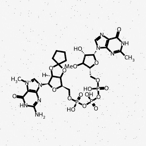 COC1[C@@H](COP(=O)(O)OP(=O)(O)OP(=O)(O)OC[C@H]2O[C@@H](n3c[n+](C)c4c(=O)[nH]c(N)nc43)[C@H]3OC4(CCCC4)OC23)O[C@@H](n2cnc3c(=O)[nH]c(C)nc32)[C@H]1O